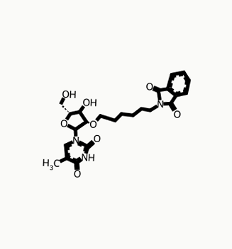 Cc1cn(C2O[C@H](CO)C(O)[C@@H]2OCCCCCCN2C(=O)c3ccccc3C2=O)c(=O)[nH]c1=O